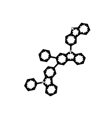 c1ccc(-c2cc3c(cc2-c2ccc4c(c2)c2ccccc2n4-c2ccccc2)c2ccccc2n3-c2ccc3oc4ccccc4c3c2)cc1